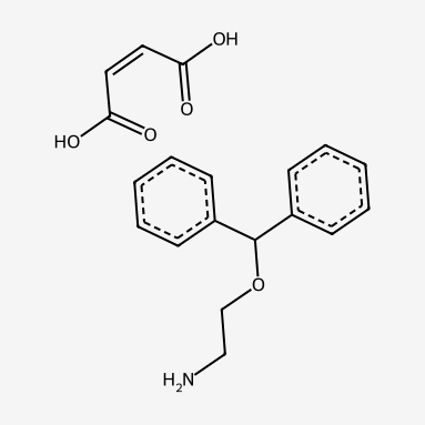 NCCOC(c1ccccc1)c1ccccc1.O=C(O)/C=C\C(=O)O